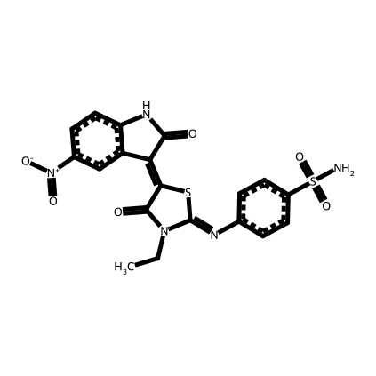 CCN1C(=O)/C(=C2/C(=O)Nc3ccc([N+](=O)[O-])cc32)S/C1=N\c1ccc(S(N)(=O)=O)cc1